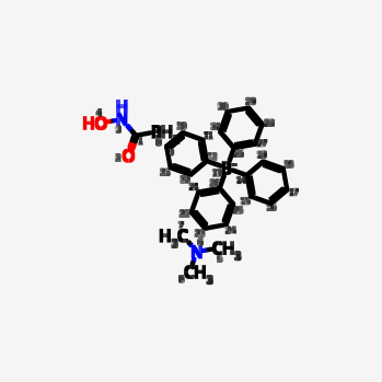 BC(=O)NO.CN(C)C.c1ccc([B-](c2ccccc2)(c2ccccc2)c2ccccc2)cc1